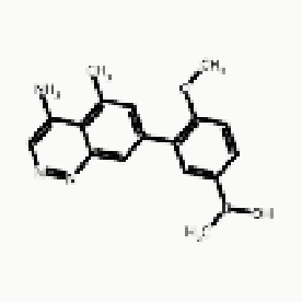 COc1ccc(B(C)O)cc1-c1cc(C)c2c(N)cnnc2c1